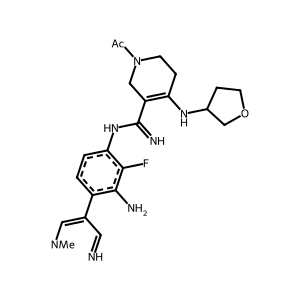 CN/C=C(\C=N)c1ccc(NC(=N)C2=C(NC3CCOC3)CCN(C(C)=O)C2)c(F)c1N